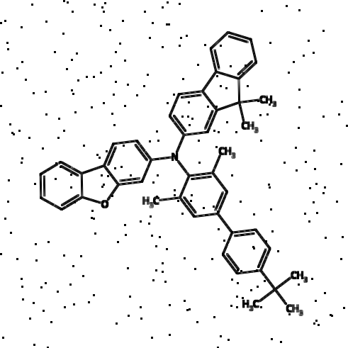 Cc1cc(-c2ccc(C(C)(C)C)cc2)cc(C)c1N(c1ccc2c(c1)C(C)(C)c1ccccc1-2)c1ccc2c(c1)oc1ccccc12